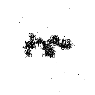 CCCCNC(=O)[C@@H](NC(=O)CCCN1C(=O)C=CC1=O)[C@@H](NC(=O)CCCN1C(=O)C=CC1=O)C(=O)NCCCC(=O)N[C@H](CN[C@@H](C)C(=O)Nc1ccc(COC(=O)N2c3cc(OCCCCCOc4cc5c(cc4OC)C(=O)N4CCC[C@H]4C(O)N5C(=O)OCc4ccc(NC(=O)[C@H](C)NC(=O)[C@@H](NCO)C(C)C)cc4)c(OC)cc3C(=O)N3CCC[C@H]3C2O)cc1)C(C)C